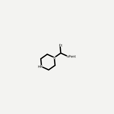 CCCCCC(CC)N1CCNCC1